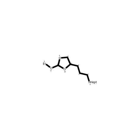 CCCCCCCCCCC1COC(OCC)O1